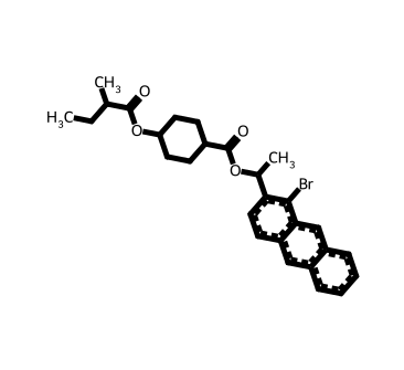 CCC(C)C(=O)OC1CCC(C(=O)OC(C)c2ccc3cc4ccccc4cc3c2Br)CC1